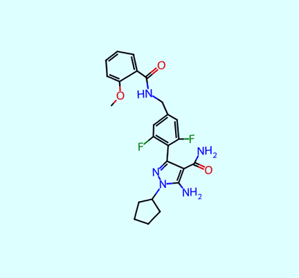 COc1ccccc1C(=O)NCc1cc(F)c(-c2nn(C3CCCC3)c(N)c2C(N)=O)c(F)c1